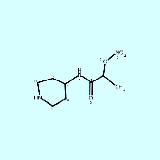 CC(O[N+](=O)[O-])C(=O)NC1CCNCC1